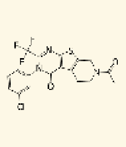 CC(=O)N1CCc2c(sc3nc(C(F)(F)F)n(-c4cccc(Cl)c4)c(=O)c23)C1